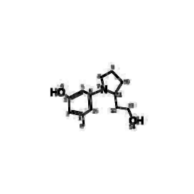 Cc1cc(O)cc(N2CCCC2CCO)c1